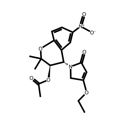 CCOC1=CC(=O)N([C@H]2c3cc([N+](=O)[O-])ccc3OC(C)(C)[C@@H]2OC(C)=O)C1